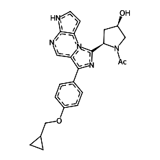 CC(=O)N1C[C@H](O)C[C@@H]1c1nc(-c2ccc(OCC3CC3)cc2)c2cnc3[nH]ccc3n12